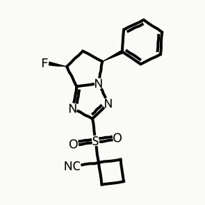 N#CC1(S(=O)(=O)c2nc3n(n2)[C@H](c2ccccc2)C[C@@H]3F)CCC1